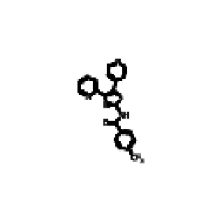 O=C(Nc1nc(-c2ccccn2)c(-c2ccncc2)s1)c1ccc(C(F)(F)F)cc1